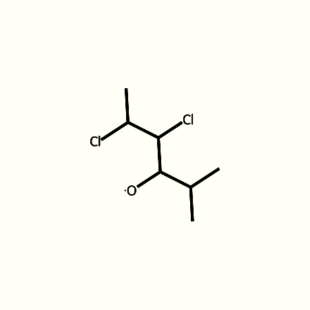 CC(C)C([O])C(Cl)C(C)Cl